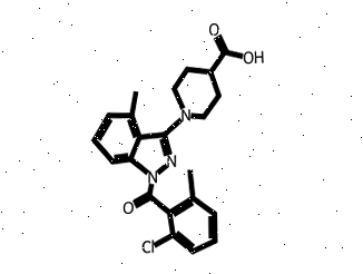 Cc1cccc(Cl)c1C(=O)n1nc(N2CCC(C(=O)O)CC2)c2c(C)cccc21